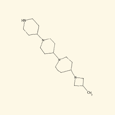 CC1CN(C2CCN(C3CCN(C4CCNCC4)CC3)CC2)C1